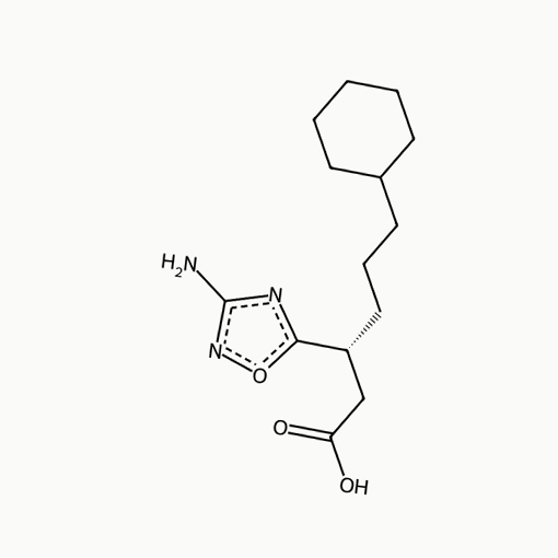 Nc1noc([C@H](CCCC2CCCCC2)CC(=O)O)n1